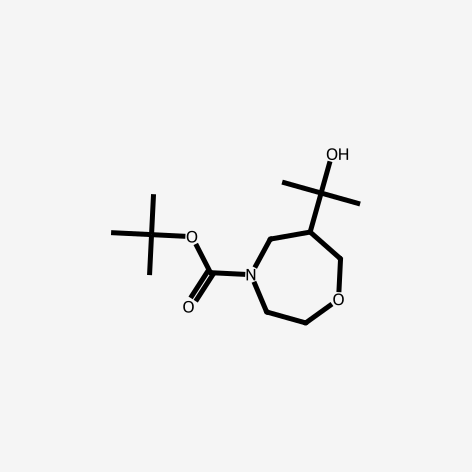 CC(C)(C)OC(=O)N1CCOCC(C(C)(C)O)C1